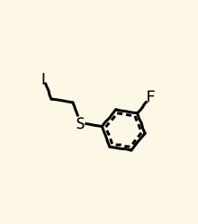 Fc1cccc(SCCI)c1